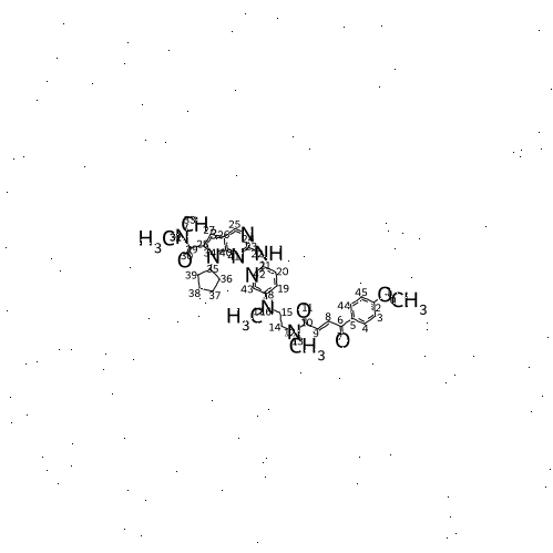 COc1ccc(C(=O)/C=C/C(=O)N(C)CCN(C)c2ccc(Nc3ncc4cc(C(=O)N(C)C)n(C5CCCC5)c4n3)nc2)cc1